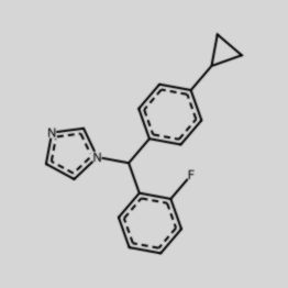 Fc1ccccc1C(c1ccc(C2CC2)cc1)n1ccnc1